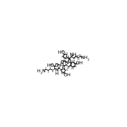 NCCCC[C@H](NC(=O)[C@@H]1C[C@@H](O)CN1C(=O)[C@H](Cc1ccc(O)cc1)NC(=O)[C@@H]1C[C@@H](O)CN1C(=O)[C@@H](N)CCCCN)C(=O)O